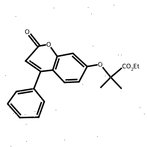 CCOC(=O)C(C)(C)Oc1ccc2c(-c3ccccc3)cc(=O)oc2c1